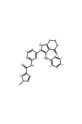 Cn1ccc(C(=O)Nc2cc(-c3[nH]c4c(c3Nc3ccccc3)C(=O)CCC4)ccn2)n1